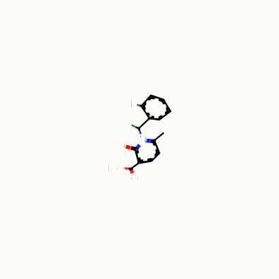 Cc1ccc(C(=O)O)c(=O)n1C(F)c1ccccc1F